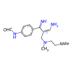 CNCCN(C)C/C(=C/N)C(=N)c1ccc(NC=O)cc1